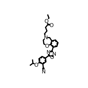 CCOC(=O)CCCN1CCOc2c(cccc2-c2noc(-c3ccc(OC(C)C)c(C#N)c3)n2)C1